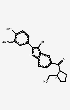 CCc1c(-c2ccc(OC)c(OC)c2)[nH]c2ccc(C(=O)N3CCC[C@H]3CO)cc12